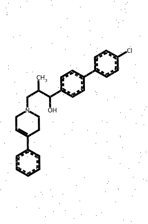 CC(CN1CC=C(c2ccccc2)CC1)C(O)c1ccc(-c2ccc(Cl)cc2)cc1